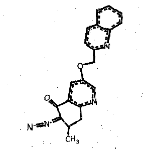 CC1Cc2ncc(OCc3ccc4ccccc4n3)cc2C(=O)C1=[N+]=[N-]